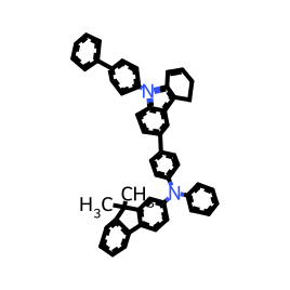 CC1(C)c2ccccc2-c2ccc(N(c3ccccc3)c3ccc(-c4ccc5c(c4)c4c(n5-c5ccc(-c6ccccc6)cc5)C=CCC4)cc3)cc21